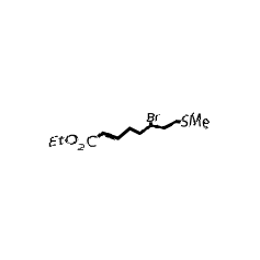 CCOC(=O)CCCCC(Br)CCSC